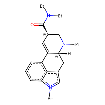 CCN(CC)C(=O)[C@@H]1C=C2c3cccc4c3c(cn4C(C)=O)C[C@H]2N(C(C)C)C1